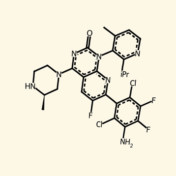 Cc1ccnc(C(C)C)c1-n1c(=O)nc(N2CCN[C@H](C)C2)c2cc(F)c(-c3c(Cl)c(N)c(F)c(F)c3Cl)nc21